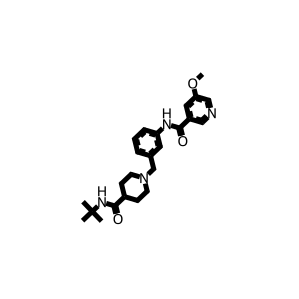 COc1cncc(C(=O)Nc2cccc(CN3CCC(C(=O)NC(C)(C)C)CC3)c2)c1